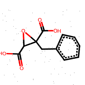 O=C(O)C1OC1(Cc1ccccc1)C(=O)O